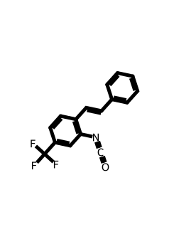 O=C=Nc1cc(C(F)(F)F)ccc1C=Cc1ccccc1